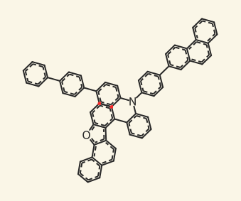 c1ccc(-c2ccc(-c3ccc(N(c4ccc(-c5ccc6c(ccc7ccccc76)c5)cc4)c4ccccc4-c4cccc5oc6c7ccccc7ccc6c45)cc3)cc2)cc1